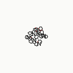 N#Cc1c(-c2cccnc2)c(-n2c3ccccc3c3ccc4c5ccccc5sc4c32)c(C#N)c(-n2c3ccccc3c3ccc4c5ccccc5sc4c32)c1-n1c2ccccc2c2ccc3c4ccccc4sc3c21